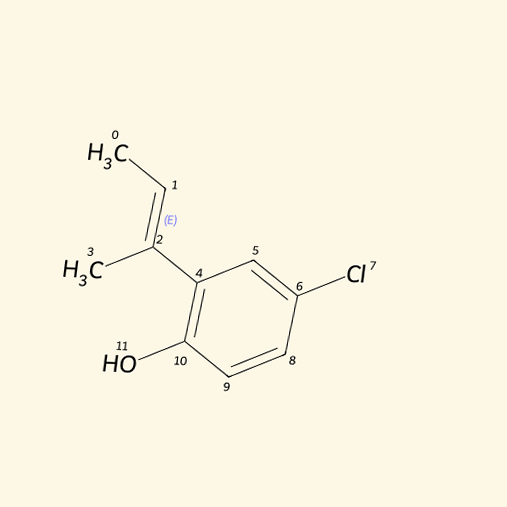 C/C=C(\C)c1cc(Cl)ccc1O